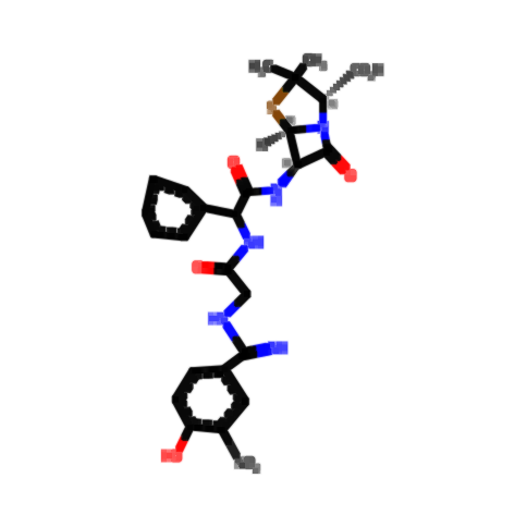 CC1(C)S[C@@H]2[C@H](NC(=O)C(NC(=O)CNC(=N)c3ccc(O)c([N+](=O)[O-])c3)c3ccccc3)C(=O)N2[C@H]1C(=O)O